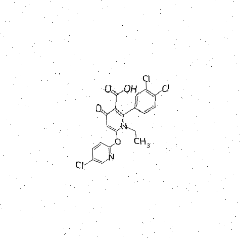 CCn1c(Oc2ccc(Cl)cn2)cc(=O)c(C(=O)O)c1-c1ccc(Cl)c(Cl)c1